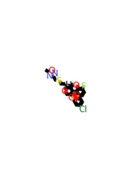 Cc1nc(CSCC[C@@H]2OCC[C@@]3(S(=O)(=O)c4ccc(Cl)cc4)c4c(F)ccc(F)c4OC[C@@H]23)no1